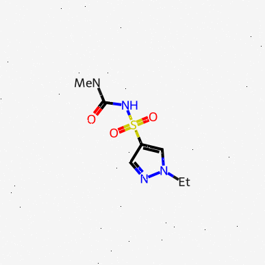 CCn1cc(S(=O)(=O)NC(=O)NC)cn1